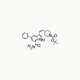 CC(C)(C)OC(=O)N1CCC(/C=C\c2c[nH]c3c(C(N)=O)cc(-c4ccccc4)cc23)CC1